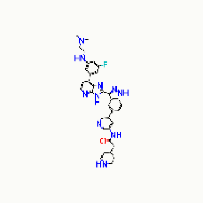 CN(C)CCNc1cc(F)cc(-c2ccnc3[nH]c(-c4n[nH]c5ccc(-c6cncc(NC(=O)CC7CCNCC7)c6)cc45)nc23)c1